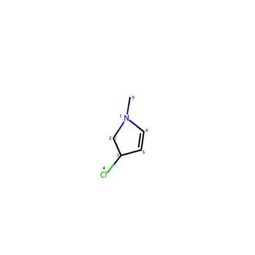 CN1[C]C(Cl)C=C1